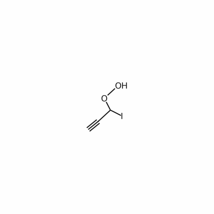 C#CC(I)OO